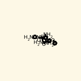 Nc1ccc2c3c(c(C(=O)NC4CCC(N)CC4)sc13)C(N)C(=O)C2(N)c1ccc(Oc2ccccc2)cc1